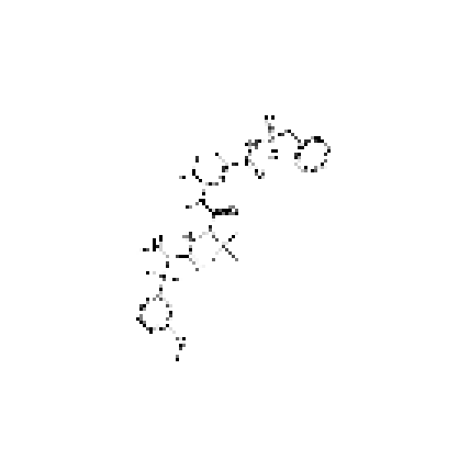 CN[C@H](C(=O)N[C@H](C(=O)N(C)[C@H](/C=C(\C)C(=O)NS(=O)(=O)Cc1ccccc1)C(C)C)C(C)(C)C)C(C)(C)c1cccc(OC)c1